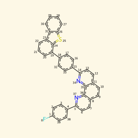 Fc1ccc(-c2ccc3ccc4ccc(-c5ccc(-c6cccc7c6sc6ccccc67)cc5)nc4c3n2)cc1